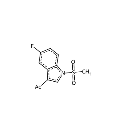 CC(=O)c1cn(S(C)(=O)=O)c2ccc(F)cc12